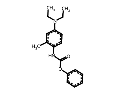 CCN(CC)c1ccc(NC(=O)Oc2ccccc2)c(C)c1